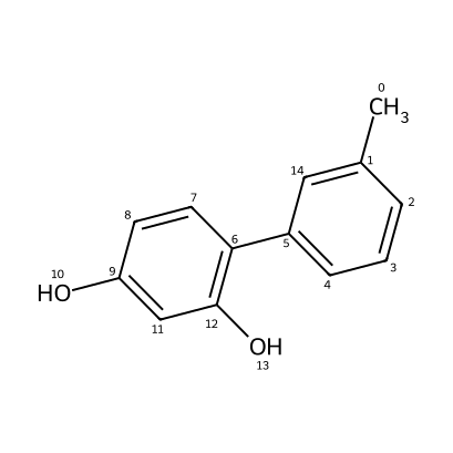 Cc1cccc(-c2ccc(O)cc2O)c1